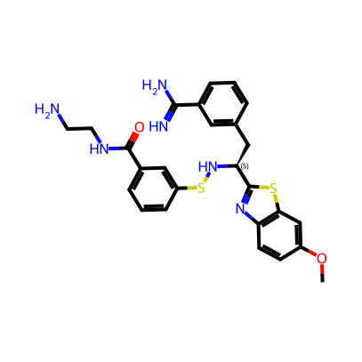 COc1ccc2nc([C@H](Cc3cccc(C(=N)N)c3)NSc3cccc(C(=O)NCCN)c3)sc2c1